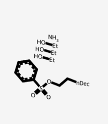 CCCCCCCCCCCCOS(=O)(=O)c1ccccc1.CCO.CCO.CCO.N